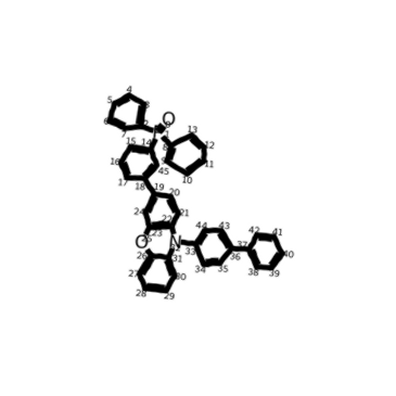 O=P(c1ccccc1)(c1ccccc1)c1cccc(-c2ccc3c(c2)Oc2ccccc2N3c2ccc(-c3ccccc3)cc2)c1